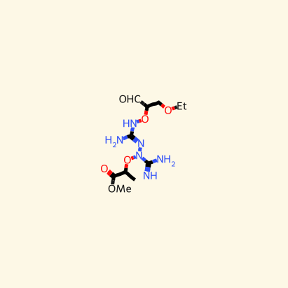 CCOCC(C=O)ONC(N)=NN(OC(C)C(=O)OC)C(=N)N